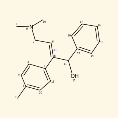 Cc1ccc(/C(=C\CN(C)C)C(O)c2ccccc2)cc1